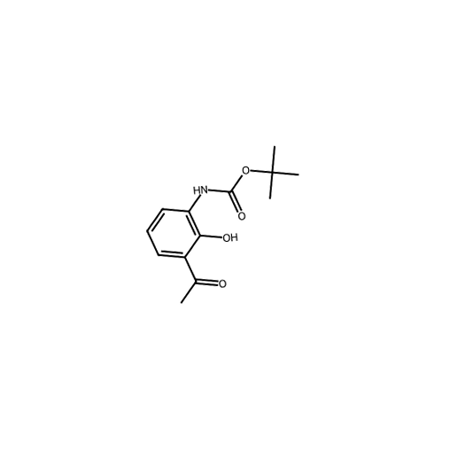 CC(=O)c1cccc(NC(=O)OC(C)(C)C)c1O